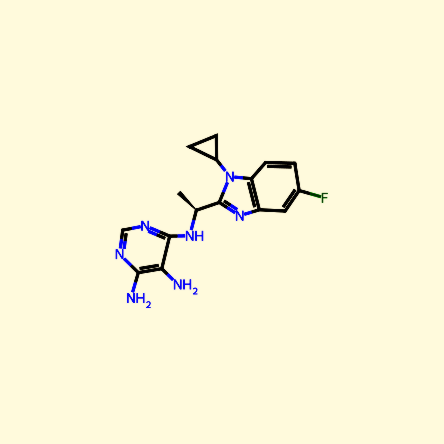 C[C@H](Nc1ncnc(N)c1N)c1nc2cc(F)ccc2n1C1CC1